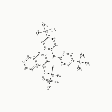 CC(C)(C)c1ccc([I+]c2ccc(C(C)(C)C)cc2)cc1.O=S(=O)([O-])C(F)(F)Cc1cccc2ccccc12